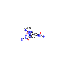 C[C@@H](CC1(c2nnn[nH]2)c2ccc(C(=O)NCCN(C)C)cc2CCc2cc(C(=O)NCCN(C)C)ccc21)NCC(=O)N1CCCC1C#N